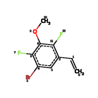 C=Cc1cc(Br)c(F)c(OC)c1F